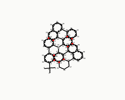 CC(C)(C)c1ccc(-c2ccccc2N(c2ccccc2-c2cccc3cccc(-c4ccccc4)c23)c2ccccc2-c2cccc3cccc(C4CCCCC4)c23)cc1